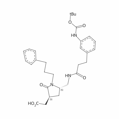 CC(C)(C)OC(=O)Nc1cccc(CCC(=O)NC[C@@H]2C[C@@H](CC(=O)O)C(=O)N2CCCc2ccccc2)c1